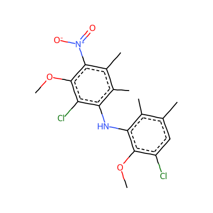 COc1c(Cl)cc(C)c(C)c1Nc1c(C)c(C)c([N+](=O)[O-])c(OC)c1Cl